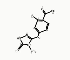 Cn1c(Sc2ccc(C(=O)O)c(Cl)c2)n[nH]c1=O